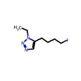 CCn1nncc1CCCCI